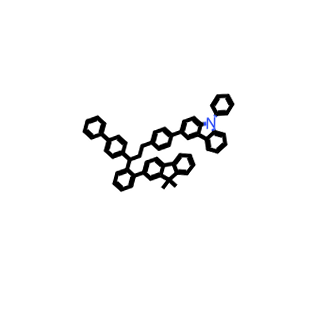 CC1(C)c2ccccc2-c2ccc(-c3ccccc3C(CCc3ccc(-c4ccc5c(c4)c4ccccc4n5-c4ccccc4)cc3)c3ccc(-c4ccccc4)cc3)cc21